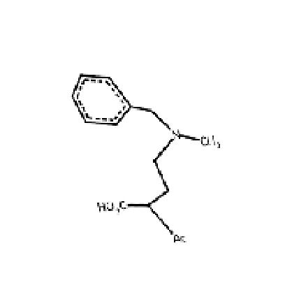 CC(=O)C(CCN(C)Cc1ccccc1)C(=O)O